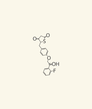 O=C1CC(=O)C(Cc2ccc(OC[C@@H](O)c3ccccc3F)cc2)S1